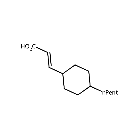 CCCCCC1CCC(/C=C/C(=O)O)CC1